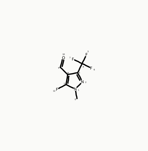 Cn1nc(C(F)(F)F)c(C=O)c1F